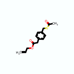 C=CCOC(=O)Cc1ccc(CSC(C)=O)cc1